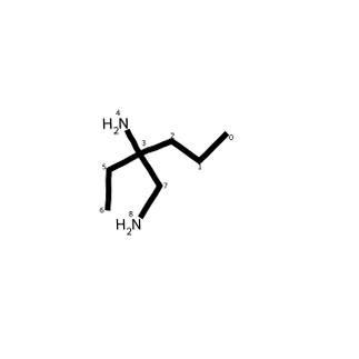 CCCC(N)(CC)CN